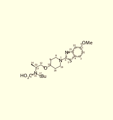 COc1ccc2sc(N3CCC(OC[C@H](C)N(C(=O)O)C(C)(C)C)CC3)nc2c1